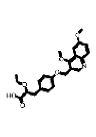 CCOC(Cc1ccc(OCc2cnc3ccc(OC)cc3c2OC)cc1)C(=O)O